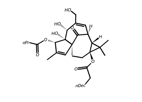 CCCCCCCCCCCC(=O)O[C@@]12CC[C@]34C=C(C)[C@H](OC(=O)CCC)[C@@]3(O)[C@H](O)C(CO)=C[C@H](C4=O)[C@@H]1C2(C)C